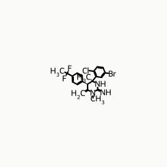 C=C1[C@@H](c2ccc(C(C)(F)F)cc2)[C@@](C)(c2cc(Br)ccc2Cl)NC(=N)N1C